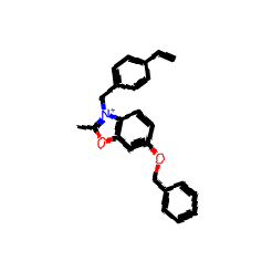 C=Cc1ccc(C[n+]2c(C)oc3cc(OCc4ccccc4)ccc32)cc1